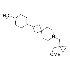 COCC1(CN2CCC3(CC2)CC(N2CCC(C)CC2)C3)CC1